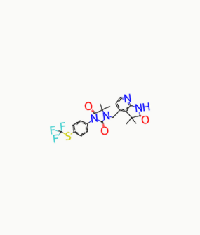 CC1(C)C(=O)Nc2nccc(CN3C(=O)N(c4ccc(SC(F)(F)F)cc4)C(=O)C3(C)C)c21